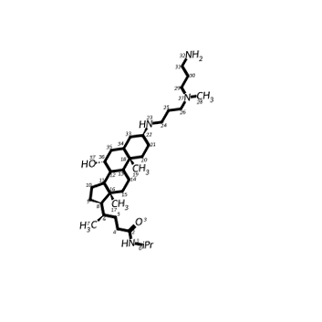 CC(C)NC(=O)CC[C@@H](C)[C@H]1CCC2C3C(CC[C@@]21C)[C@@]1(C)CC[C@H](NCCCN(C)CCCN)CC1C[C@H]3O